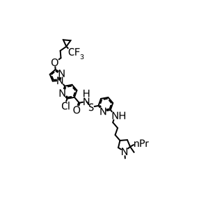 CCCC1(C)CC(CCCNc2cccc(SNC(=O)c3ccc(-n4ccc(OCCC5(C(F)(F)F)CC5)n4)nc3Cl)n2)CN1C